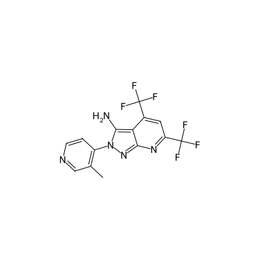 Cc1cnccc1-n1nc2nc(C(F)(F)F)cc(C(F)(F)F)c2c1N